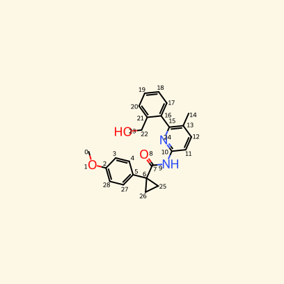 COc1ccc(C2(C(=O)Nc3ccc(C)c(-c4ccccc4CO)n3)CC2)cc1